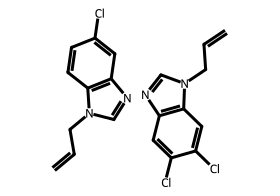 C=CCn1cnc2cc(Cl)c(Cl)cc21.C=CCn1cnc2cc(Cl)ccc21